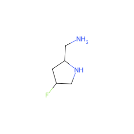 NCC1CC(F)CN1